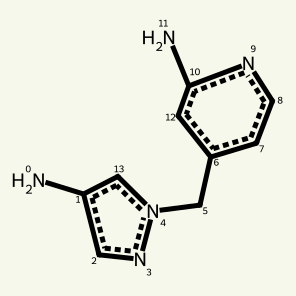 Nc1cnn(Cc2ccnc(N)c2)c1